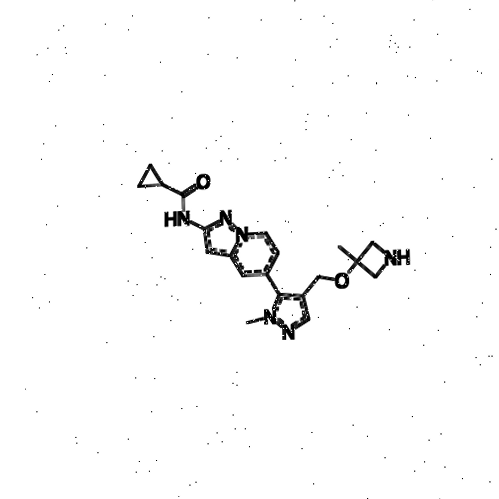 Cn1ncc(COC2(C)CNC2)c1-c1ccn2nc(NC(=O)C3CC3)cc2c1